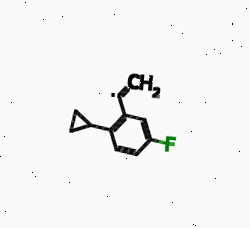 C=[C]c1cc(F)ccc1C1CC1